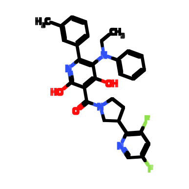 CCN(c1ccccc1)c1c(-c2cccc(C)c2)nc(O)c(C(=O)N2CCC(c3ncc(F)cc3F)C2)c1O